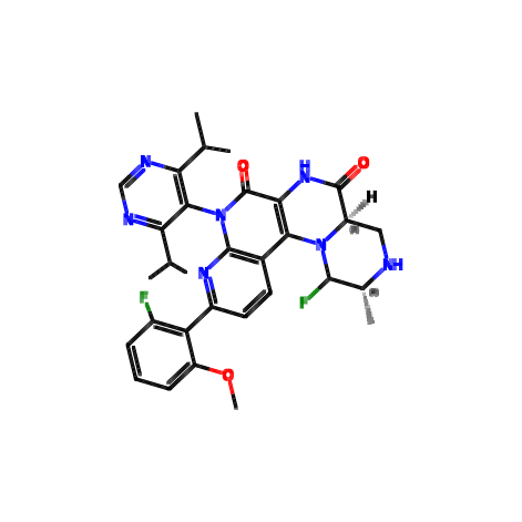 COc1cccc(F)c1-c1ccc2c3c(c(=O)n(-c4c(C(C)C)ncnc4C(C)C)c2n1)NC(=O)[C@H]1CN[C@H](C)C(F)N31